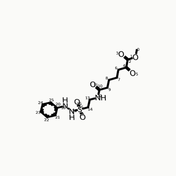 COC(=O)C(=O)CCCCC(=O)NCCS(=O)(=O)NNc1ccccc1